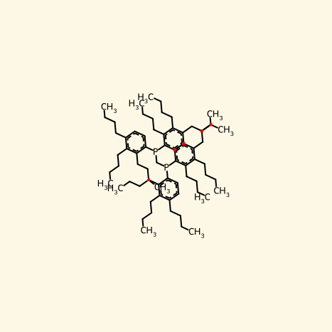 CCCCc1ccc(P(CP(c2ccc(CCCC)c(CCCC)c2CCCC)c2ccc(CCCC)c(CCCC)c2CCCC)c2ccc(CCCC)c(CCCC)c2CCCC)c(CCCC)c1CCCC